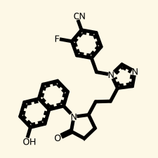 N#Cc1ccc(Cn2cncc2CCC2C[CH]C(=O)N2c2cccc3ccc(O)cc23)cc1F